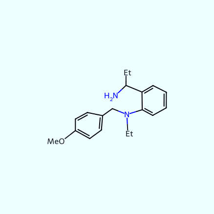 CCC(N)c1ccccc1N(CC)Cc1ccc(OC)cc1